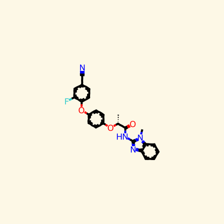 C[C@@H](Oc1ccc(Oc2ccc(C#N)cc2F)cc1)C(=O)Nc1nc2ccccc2n1C